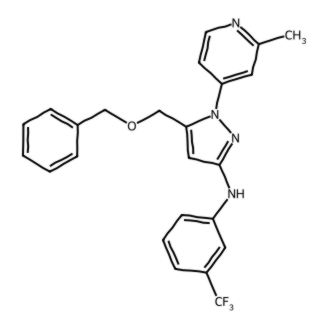 Cc1cc(-n2nc(Nc3cccc(C(F)(F)F)c3)cc2COCc2ccccc2)ccn1